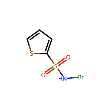 O=S(=O)(NBr)c1cccs1